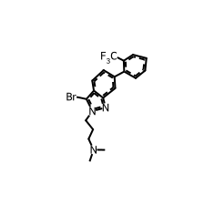 CN(C)CCCn1nc2cc(-c3ccccc3C(F)(F)F)ccc2c1Br